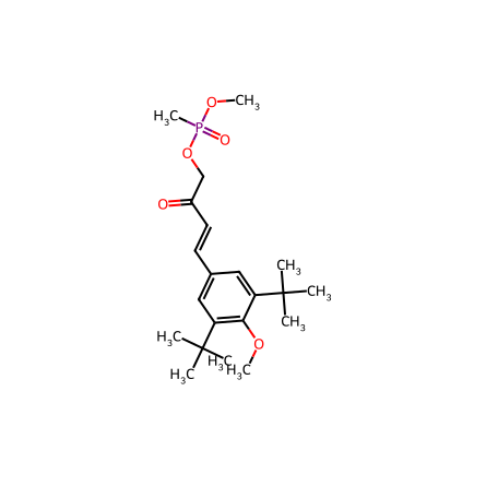 COc1c(C(C)(C)C)cc(C=CC(=O)COP(C)(=O)OC)cc1C(C)(C)C